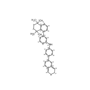 CC1(C)CCC(C)(C)c2c(-c3cccc(Nc4ccc(-c5ccc6c(c5)=CCCC=6)cc4)c3)cccc21